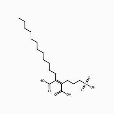 CCCCCCCCCCCC/C(C(=O)O)=C(\CCCS(=O)(=O)O)C(=O)O